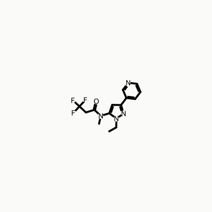 CCn1nc(-c2cccnc2)cc1N(C)C(=O)CC(F)(F)F